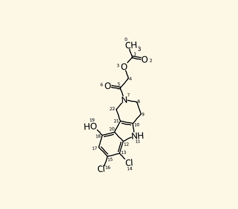 CC(=O)OCC(=O)N1CCc2[nH]c3c(Cl)c(Cl)cc(O)c3c2C1